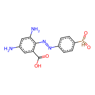 Nc1cc(N)c(N=Nc2ccc([SH](=O)=O)cc2)c(C(=O)O)c1